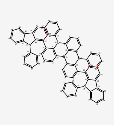 c1ccc(N2c3cccc4c3B(c3cccc(-c5cccc6c7ccccc7n(-c7ccccc7)c56)c32)c2cccc(-c3cccc5c6ccccc6n(-c6ccccc6)c35)c2N4c2ccccc2)cc1